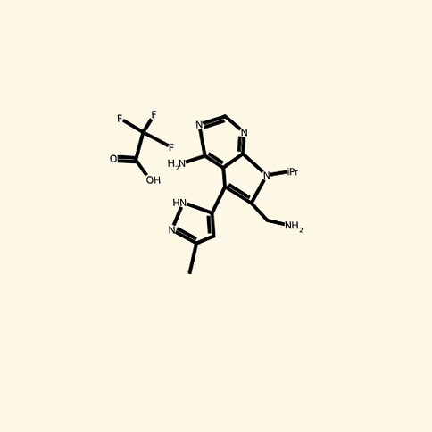 Cc1cc(-c2c(CN)n(C(C)C)c3ncnc(N)c23)[nH]n1.O=C(O)C(F)(F)F